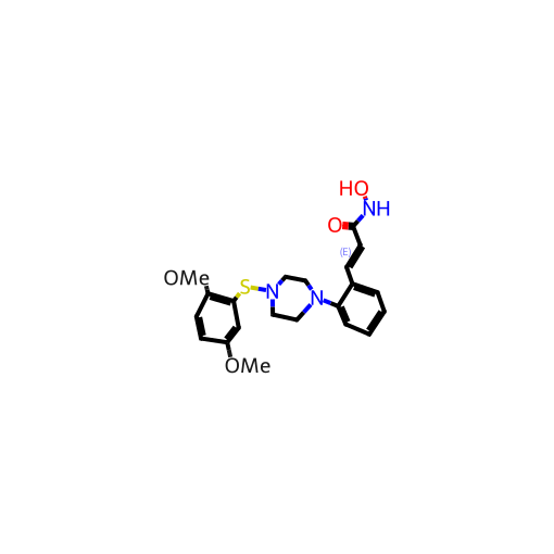 COc1ccc(OC)c(SN2CCN(c3ccccc3/C=C/C(=O)NO)CC2)c1